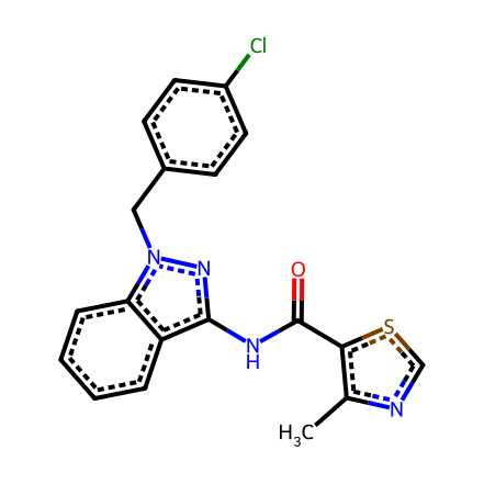 Cc1ncsc1C(=O)Nc1nn(Cc2ccc(Cl)cc2)c2ccccc12